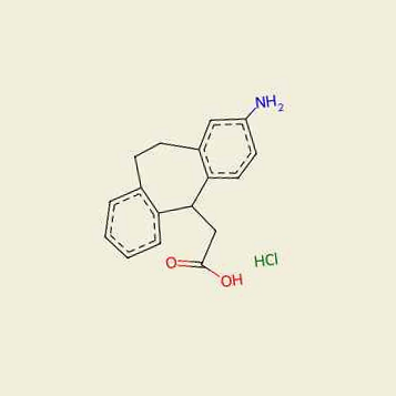 Cl.Nc1ccc2c(c1)CCc1ccccc1C2CC(=O)O